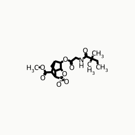 CCC(C)(C)C(=O)NCC(=O)OC1C2CC3C1OS(=O)(=O)C3C2C(=O)OC